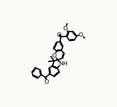 COc1ccc(C(=O)c2ccc3c(c2)C=CC2(Nc4ccc(C(=O)c5ccccc5)cc4C2(C)C)O3)c(OC)c1